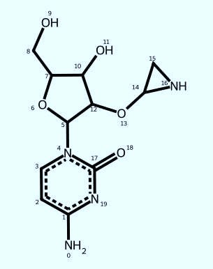 Nc1ccn(C2OC(CO)C(O)C2OC2CN2)c(=O)n1